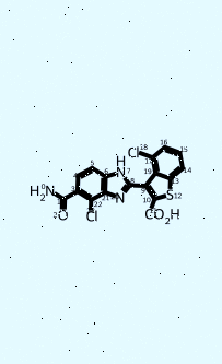 NC(=O)c1ccc2[nH]c(-c3c(C(=O)O)sc4cccc(Cl)c34)nc2c1Cl